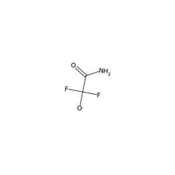 NC(=O)C([O])(F)F